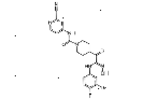 N#Cc1cc(NC(=O)N2CCC(C(=O)/C(=N/O)Nc3ccc(F)c(Br)c3)CC2)ccn1